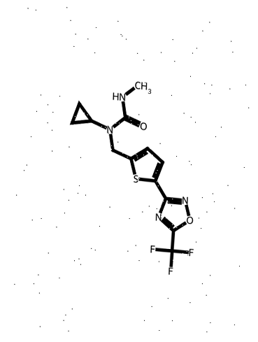 CNC(=O)N(Cc1ccc(-c2noc(C(F)(F)F)n2)s1)C1CC1